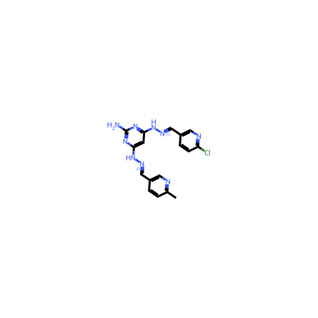 Cc1ccc(/C=N/Nc2cc(N/N=C/c3ccc(Cl)nc3)nc(N)n2)cn1